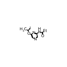 CCC(=O)Nc1cncc(OC(C)I)n1